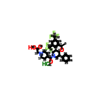 C[C@@H](O[C@H]1CCN(C(=O)C2CCN(CC(=O)O)CC2)C[C@H]1c1ccccc1)c1cc(C(F)(F)F)cc(C(F)(F)F)c1.Cl